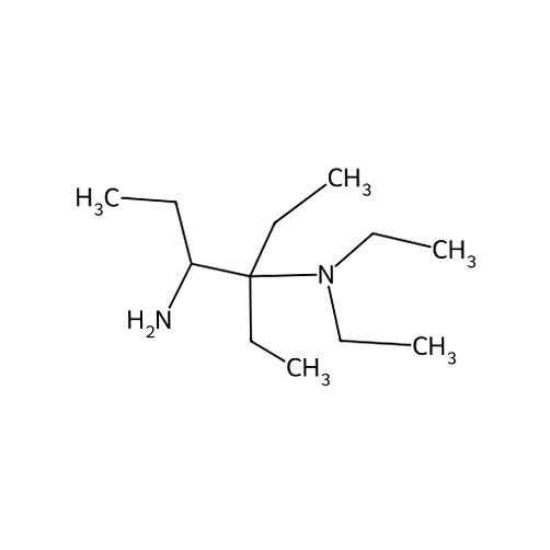 CCC(N)C(CC)(CC)N(CC)CC